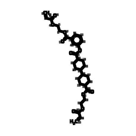 C=CC(=O)OCCOC(=O)c1cccc(OC(=O)C2CCC(C3CCC(C(=O)OCCOC(=O)C=C)CC3)CC2)c1